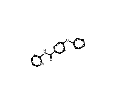 O=C(Nc1ccccn1)c1ccc(Oc2ccccc2)cc1